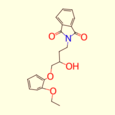 CCOc1ccccc1OCC(O)CCN1C(=O)c2ccccc2C1=O